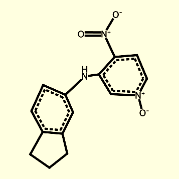 O=[N+]([O-])c1cc[n+]([O-])cc1Nc1ccc2c(c1)CCC2